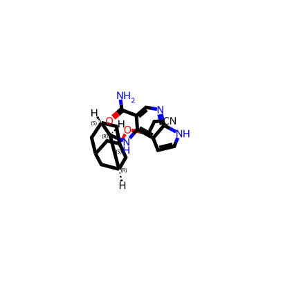 N#CCCO[C@]12CC3C[C@H](C1)[C@H](Nc1c(C(N)=O)cnc4[nH]ccc14)[C@@H](C3)C2